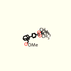 COC(=O)CC12CC3CC(C1)CC(c1ccc(B4OC(C)(C)C(C)(C)O4)cc1)(C3)C2